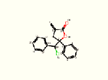 C=C1CC(c2ccccc2)(C(Cl)c2ccccc2)OC1=O